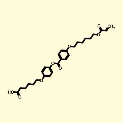 C=CC(=O)OCCCCCCOc1ccc(C(=O)Oc2ccc(OCCCCCC(=O)O)cc2)cc1